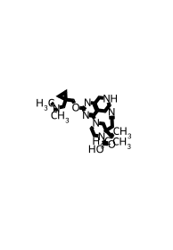 CN(C)CC1(COc2nc3c(c(N4CCN(C(=O)O)C(CC#N)(C(C)(C)C)C4)n2)CCNC3)CC1